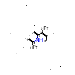 C=C(NC(=C)C(C)C)/C(=C\C)C(C)C